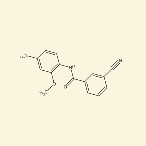 COc1cc(N)ccc1NC(=O)c1cccc(C#N)c1